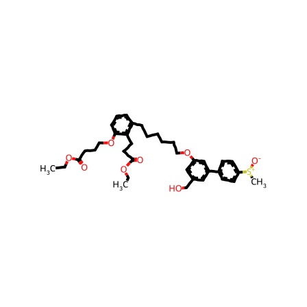 CCOC(=O)CCCOc1cccc(CCCCCCOc2cc(CO)cc(-c3ccc([S+](C)[O-])cc3)c2)c1CCC(=O)OCC